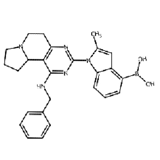 Cc1cc2c(B(O)O)cccc2n1-c1nc2c(c(NCc3ccccc3)n1)C1CCCN1CC2